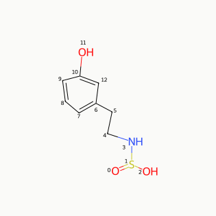 O=S(O)NCCc1cccc(O)c1